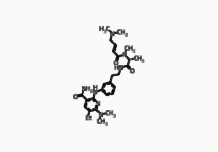 CCc1cc(C(N)=O)c(Nc2cccc(CCNC(=O)[C@H](C)N(C)C(=O)/C=C/CN(C)C)c2)nc1N(C)C